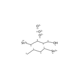 CCC[CH2][Sn+3].OCCC[CH2][Sn+3].[O-2].[O-2].[O-2]